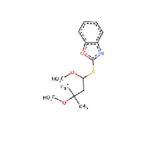 CC(C)(CC(OC(=O)O)Sc1nc2ccccc2o1)OC(=O)O